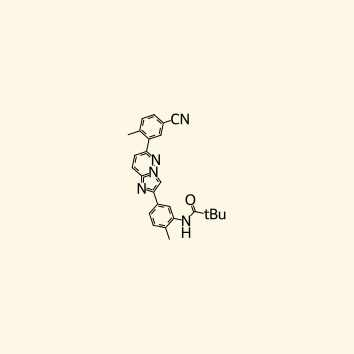 Cc1ccc(-c2cn3nc(-c4cc(C#N)ccc4C)ccc3n2)cc1NC(=O)C(C)(C)C